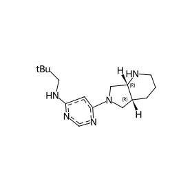 CC(C)(C)CNc1cc(N2C[C@H]3CCCN[C@H]3C2)ncn1